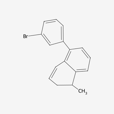 CC1CC=Cc2c(-c3cccc(Br)c3)cccc21